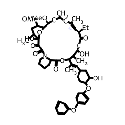 CCC1/C=C(\C)CC(C)CC(OC)C2OC(O)(C(=O)C(=O)N3CCCCC3C(=O)OC(C(C)=CC3CCC(Oc4ccc(Oc5ccccc5)cc4)C(O)C3)C(C)C(O)CC1=O)C(C)CC2OC